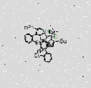 CCCc1ccc2c(c1-c1ccccc1CC)C=C(C(C)CC)[CH]2[Zr]([Cl])([Cl])([CH]1C(C(C)CC)=Cc2c1ccc(CCC)c2-c1ccccc1CC)[SiH](C)C